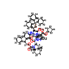 CC[C@H](C)[C@H](NC(=O)[C@@H]1C[C@@H]2CCCC[C@@H]2N1C(=O)OCC1c2ccccc2-c2ccccc21)C(=O)N[C@@H](CSC(c1ccccc1)(c1ccccc1)c1ccccc1)C(=O)N[C@H](C(=O)OC1CCCC1)[C@@H](C)CC